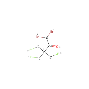 O=C(C(Br)Br)C(CF)(CF)CF